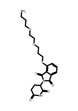 NCCCOCCOCCCSc1cccc2c1C(=O)N(C1CCC(=O)NC1=O)C2=O